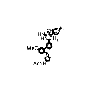 COc1ccc(CN2CCC(NC(C)=O)C2)c(-c2cccc(C(C)NC(=N)N(C=O)CC3CCN(C(C)=O)CC3)c2)c1